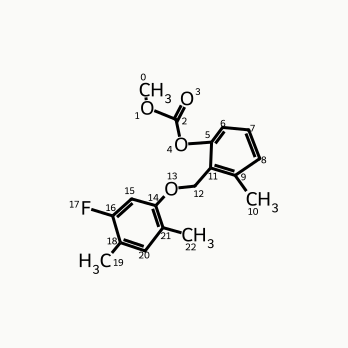 COC(=O)Oc1cccc(C)c1COc1cc(F)c(C)cc1C